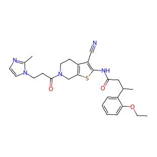 CCOc1ccccc1C(C)CC(=O)Nc1sc2c(c1C#N)CCN(C(=O)CCn1ccnc1C)C2